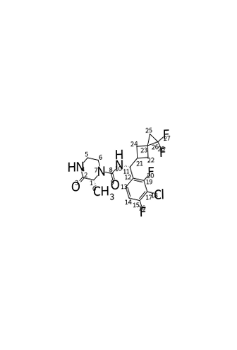 C[C@@H]1C(=O)NCCN1C(=O)N[C@@H](c1ccc(F)c(Cl)c1F)C1CC2(C1)CC2(F)F